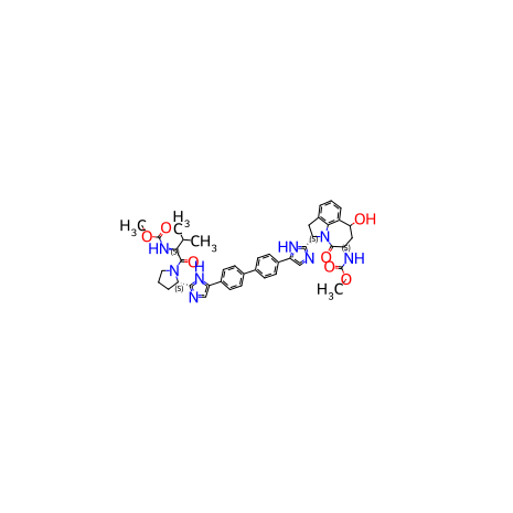 COC(=O)N[C@H]1CC(O)c2cccc3c2N(C1=O)[C@H](c1ncc(-c2ccc(-c4ccc(-c5cnc([C@@H]6CCCN6C(=O)[C@@H](NC(=O)OC)C(C)C)[nH]5)cc4)cc2)[nH]1)C3